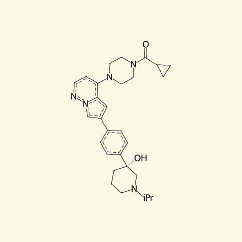 CC(C)N1CCC[C@@](O)(c2ccc(-c3cc4c(N5CCN(C(=O)C6CC6)CC5)ccnn4c3)cc2)C1